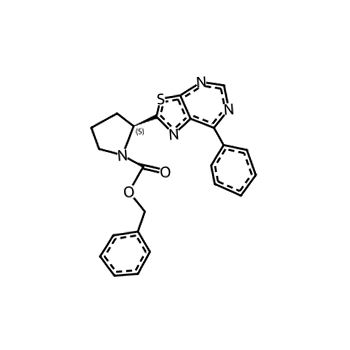 O=C(OCc1ccccc1)N1CCC[C@H]1c1nc2c(-c3ccccc3)ncnc2s1